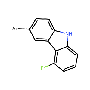 CC(=O)c1ccc2[nH]c3cccc(F)c3c2c1